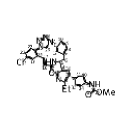 CCc1nnc([C@H](Cc2ccccc2)NC(=O)/C=C/c2cc(Cl)ccc2-n2cnnn2)cc1-c1ccc(NC(=O)OC)cc1